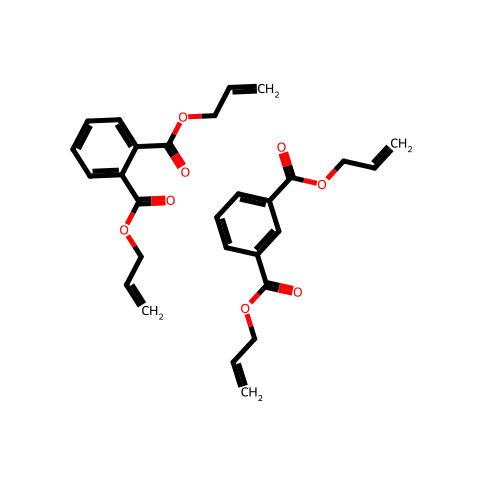 C=CCOC(=O)c1cccc(C(=O)OCC=C)c1.C=CCOC(=O)c1ccccc1C(=O)OCC=C